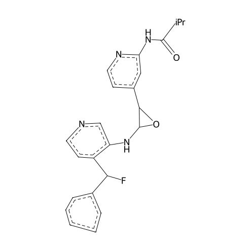 CC(C)C(=O)Nc1cc(C2OC2Nc2cnccc2C(F)c2ccccc2)ccn1